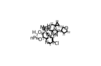 CCCO[C@@H](c1ncc(Cl)cn1)[C@H](C)S(=O)(=O)Nc1nnc([C@@H]2CCOC2)n1C1(COC)CC1